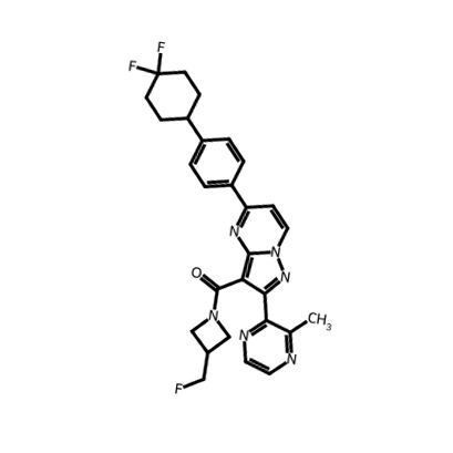 Cc1nccnc1-c1nn2ccc(-c3ccc(C4CCC(F)(F)CC4)cc3)nc2c1C(=O)N1CC(CF)C1